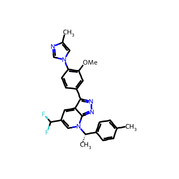 COc1cc(-c2nnc3n([C@@H](C)c4ccc(C)cc4)cc(C(F)F)cc2-3)ccc1-n1cnc(C)c1